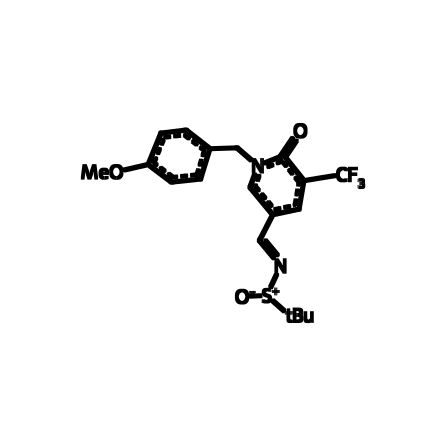 COc1ccc(Cn2cc(/C=N/[S+]([O-])C(C)(C)C)cc(C(F)(F)F)c2=O)cc1